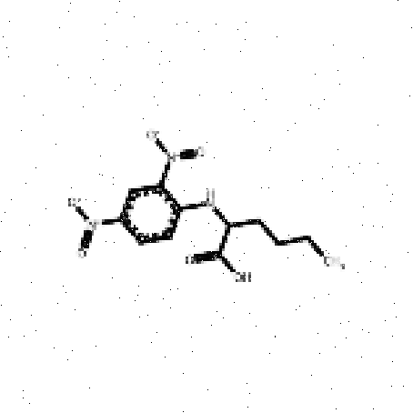 CCCCC(Nc1ccc([N+](=O)[O-])cc1[N+](=O)[O-])C(=O)O